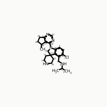 CC(C)NCc1c(Cl)ccc2c1C1(CCNCC1)CN2c1ncnc2c1C(C)CC2